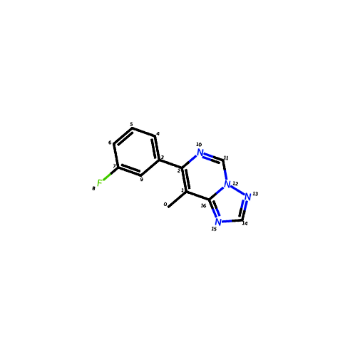 Cc1c(-c2cccc(F)c2)ncn2ncnc12